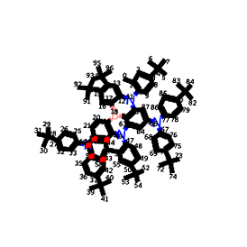 Cc1cc(C(C)(C)C)ccc1N1c2cc3c(cc2B2c4ccc(N(c5ccc(C(C)(C)C)cc5)c5ccc(C(C)(C)C)cc5)cc4N(c4ccc(C(C)(C)C)cc4-c4ccccc4)c4cc(N(c5ccc(C(C)(C)C)cc5)c5ccc(C(C)(C)C)cc5)cc1c42)C(C)(C)CC3(C)C